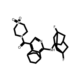 O=C(c1cnc(NC23CC4CC(F)(CC(F)(C4)C2)C3)c2c1C1CCC2CC1)N1CCS(=O)(=O)CC1